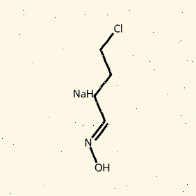 ON=CCCCCl.[NaH]